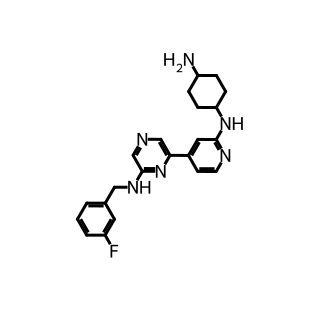 NC1CCC(Nc2cc(-c3cncc(NCc4cccc(F)c4)n3)ccn2)CC1